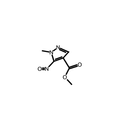 COC(=O)c1cnn(C)c1N=O